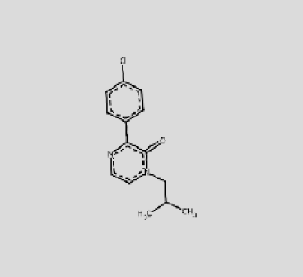 CC(C)Cn1ccnc(-c2ccc(Cl)cc2)c1=O